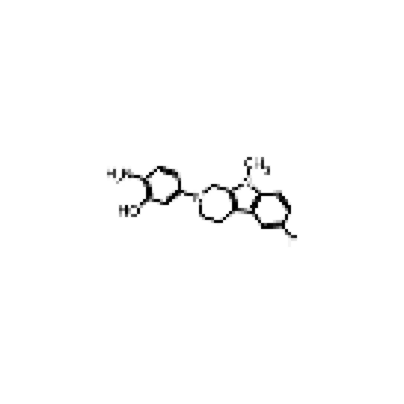 Cn1c2c(c3cc(F)ccc31)CCN(c1ccc(N)c(O)c1)C2